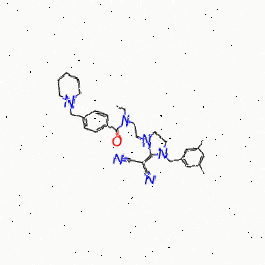 CCN(CCN1CCN(Cc2cc(C)cc(C)c2)C1=C(C#N)C#N)C(=O)c1ccc(CN2CCCCC2)cc1